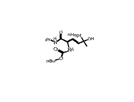 CCCCCCCC(C)(O)/C=C/C(NC(=O)OCCCC)C(=O)NC(C)C